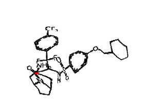 NC1CC2CCC(C1)N2C(=O)C(NS(=O)(=O)c1ccc(OCC2CCCCC2)cc1)C(F)(F)c1ccc(C(F)(F)F)cc1